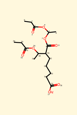 CCC(=O)OC(C)OC(=O)C(CCCCC(=O)O)C(C)OC(=O)CC